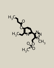 CCCC(=O)Oc1ccc(-c2nnn(C)c2COS(C)(=O)=O)nc1CC